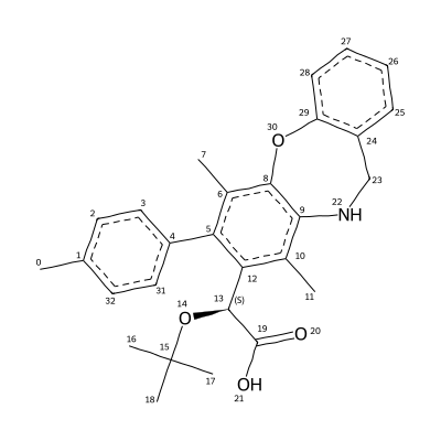 Cc1ccc(-c2c(C)c3c(c(C)c2[C@H](OC(C)(C)C)C(=O)O)NCc2ccccc2O3)cc1